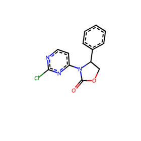 O=C1OCC(c2ccccc2)N1c1ccnc(Cl)n1